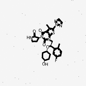 Cc1ccc(F)cc1[C@H](Cn1c(=O)n([C@@H]2CCNC2=O)c(=O)c2c(C)c(-n3nccn3)sc21)O[C@H]1CC[C@@H](O)CC1